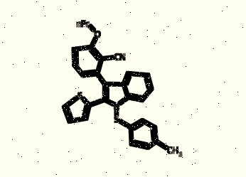 CCCOc1cccc(-c2c(-c3cccs3)n(Sc3ccc(C)cc3)c3ccccc23)c1C#N